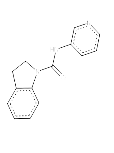 O=C(Nc1cccnc1)N1CCc2ccccc21